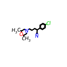 CC1CN(CCCC(C#N)c2ccc(Cl)cc2)CC(C)O1